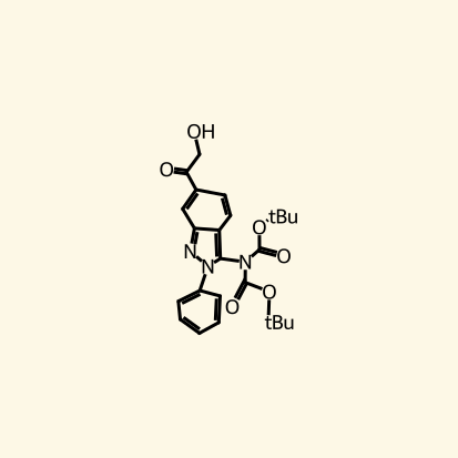 CC(C)(C)OC(=O)N(C(=O)OC(C)(C)C)c1c2ccc(C(=O)CO)cc2nn1-c1ccccc1